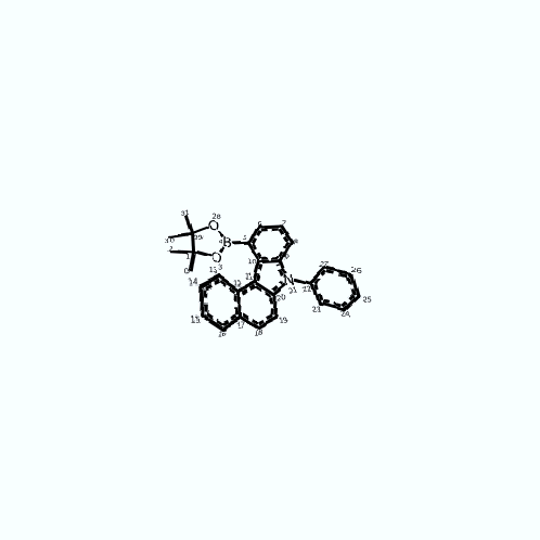 CC1(C)OB(c2cccc3c2c2c4ccccc4ccc2n3-c2ccccc2)OC1(C)C